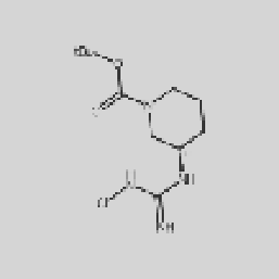 CC(C)(C)OC(=O)N1CCC[C@@H](NC(=N)NCl)C1